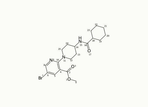 COC(=O)c1cc(Br)cnc1N1CCC(NC(=O)C2CCCCC2)CC1